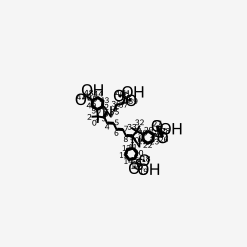 CC1(C)C(/C=C/C=C/C=C2/N(c3cccc(S(=O)(=O)O)c3)c3ccc(S(=O)(=O)O)cc3C2(C)C)=[N+](CCCS(=O)(=O)O)c2ccc(C(=O)O)cc21